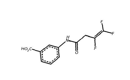 O=C(CC(F)=C(F)F)Nc1cccc(C(=O)O)c1